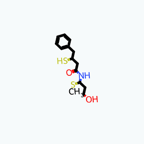 CSC(CCO)NC(=O)CC(S)Cc1ccccc1